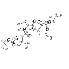 C=CCCC(NC(=O)[C@@H]1CCCN1C(=O)[C@@H](NC(=O)OC(C)(C)C)C(C)CC)C(=O)C(=O)NCC=C